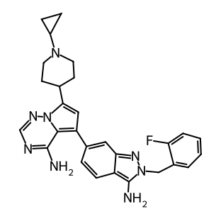 Nc1ncnn2c(C3CCN(C4CC4)CC3)cc(-c3ccc4c(N)n(Cc5ccccc5F)nc4c3)c12